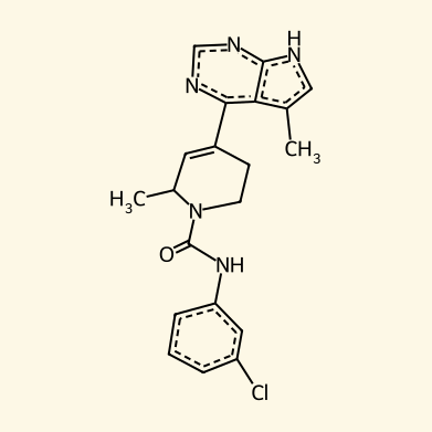 Cc1c[nH]c2ncnc(C3=CC(C)N(C(=O)Nc4cccc(Cl)c4)CC3)c12